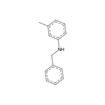 Cc1cccc(NCc2ccccc2)c1